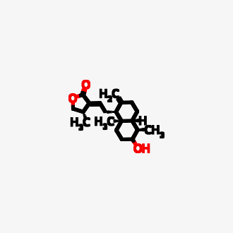 C=C1CC[C@@H]2[C@@H](C)C(O)CC[C@@]2(C)[C@@H]1C/C=C1/C(=O)OC[C@H]1C